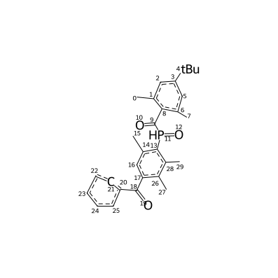 Cc1cc(C(C)(C)C)cc(C)c1C(=O)[PH](=O)c1c(C)cc(C(=O)c2ccccc2)c(C)c1C